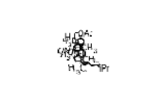 CC(=O)O[C@H]1CC[C@]2(C)[C@H]3CC[C@]4(C)[C@@H]([C@H](C)CCCC(C)C)CC[C@@]4(C)[C@@H]3[C@H](ON=O)C[C@H]2C1(C)C